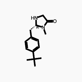 CN1C(=O)CN[C@H]1Cc1ccc(C(C)(C)C)cc1